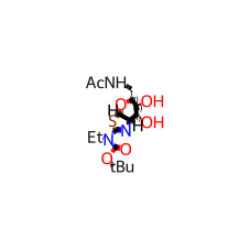 CCN(C(=O)OC(C)(C)C)C1=N[C@@H]2[C@@H](O)[C@H](O)[C@@H](CNC(C)=O)O[C@@H]2S1